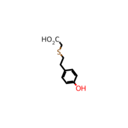 O=C(O)CSCCc1ccc(O)cc1